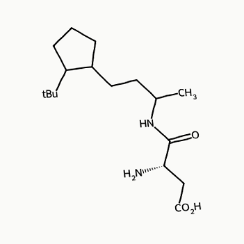 CC(CCC1CCCC1C(C)(C)C)NC(=O)[C@@H](N)CC(=O)O